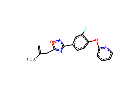 C=C(Cc1nc(-c2ccc(Oc3ccccn3)c(F)c2)no1)C(=O)O